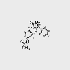 CC(=O)Oc1ccc(CC(NC(=O)c2ccccc2)C(=O)O)cc1